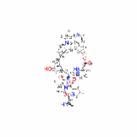 CCn1c(-c2cccnc2C(C)C)c2c3cc(ccc31)-c1cc(O)cc(c1)C[C@H](NC(=O)[C@H](C(C)C)N(C)C(=O)[C@H]1CCCN1C(=O)[C@H]1CN1)C(=O)N1CCC[C@H](N1)C(=O)OCC(C)(C)C2